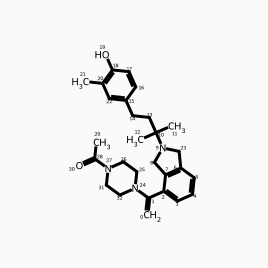 C=C(c1cccc2c1CN(C(C)(C)CCc1ccc(O)c(C)c1)C2)N1CCN(C(C)=O)CC1